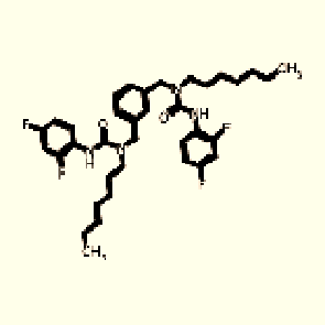 CCCCCCCN(Cc1cccc(CN(CCCCCCC)C(=O)Nc2ccc(F)cc2F)c1)C(=O)Nc1ccc(F)cc1F